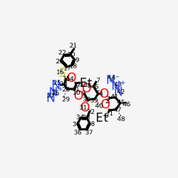 CCC1O[C@H](O[C@@H]2C(C)O[C@@H](O[C@@H]3C(CC)OC(Sc4ccc(C)cc4)C(N=[N+]=[N-])[C@H]3C)C(OCc3ccccc3)[C@H]2C)C(N=[N+]=[N-])[C@@H](C)[C@@H]1C